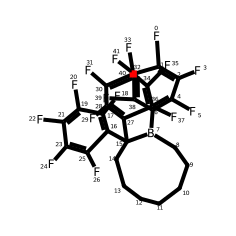 Fc1c(F)c(F)c(B2CCCCCCCC2(c2c(F)c(F)c(F)c(F)c2F)c2c(F)c(F)c(F)c(F)c2F)c(F)c1F